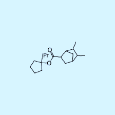 CC1C2CC(C(=O)OC3(C(C)C)CCCC3)C(C2)C1C